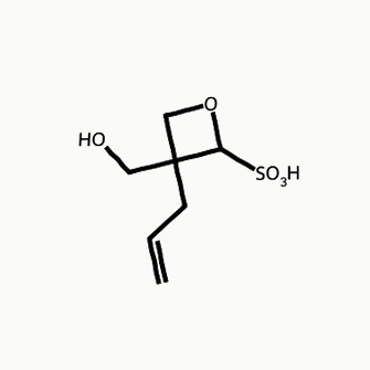 C=CCC1(CO)COC1S(=O)(=O)O